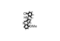 COc1cccc2ncc3c(Nc4c(C)cccc4Cl)ncn3c12